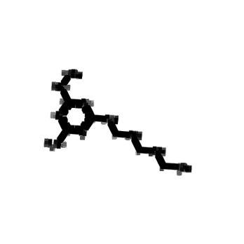 CC(C)(C)CNCNCNc1nc(N)nc(NC(C)(C)C)n1